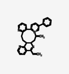 C=CC1=NC2CC(=C)[n+]3cc(-c4ccccc4)ccc3-c3cccnc3CCC2c2ncccc21